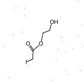 O=C(CI)OCCO